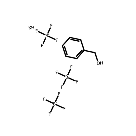 F[B-](F)(F)F.F[B-](F)(F)F.F[B-](F)(F)F.OCc1ccccc1.[KH]